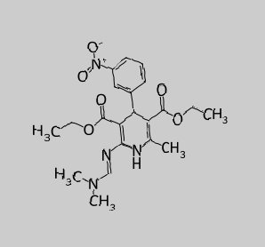 CCOC(=O)C1=C(C)NC(N=CN(C)C)=C(C(=O)OCC)C1c1cccc([N+](=O)[O-])c1